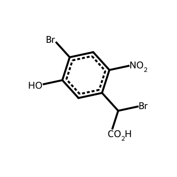 O=C(O)C(Br)c1cc(O)c(Br)cc1[N+](=O)[O-]